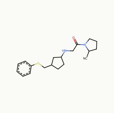 N#CC1CCCN1C(=O)CNC1CCC(CSc2ccccc2)C1